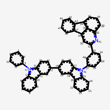 c1ccc(-n2c3ccccc3c3cc(-c4ccc5c(c4)c4ccccc4n5-c4cccc(-c5cc6c7c(cccc7n5)-c5ccccc5-6)c4)ccc32)cc1